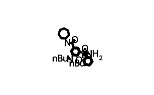 CCCCN(CCCC)c1cc(C(=O)N(C)C2CCCCCC2)cc(S(N)(=O)=O)c1Oc1ccccc1